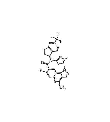 Cn1ccc(N(C(=O)c2cc3c(cc2F)nc(N)c2cnn(C)c23)C2CCc3cc(C(F)(F)F)ccc32)n1